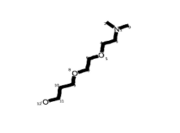 CN(C)CCOCCOCCC[O]